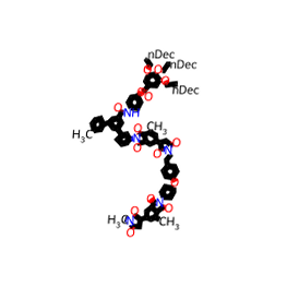 CCCCCCCCCCCCOc1cc(C(=O)Oc2ccc(NC(=O)c3cc(-c4cccc(C)c4)cc(-c4cccc(N5C(=O)C6CC(C7CC(=O)N(CCc8ccc(Oc9ccc(N%10C(=O)C%11CC(C%12CC(=O)N(C)C%12=O)C=C(C)C%11C%10=O)cc9)cc8)C7=O)C=C(C)C6C5=O)c4)c3)cc2)cc(OCCCCCCCCCCCC)c1OCCCCCCCCCCCC